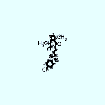 Cn1cnc2c1c(=O)n(CCCS(=O)(=O)c1ccc(Cl)cc1)c(=O)n2C